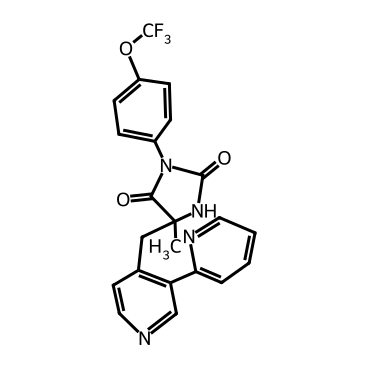 CC1(Cc2ccncc2-c2ccccn2)NC(=O)N(c2ccc(OC(F)(F)F)cc2)C1=O